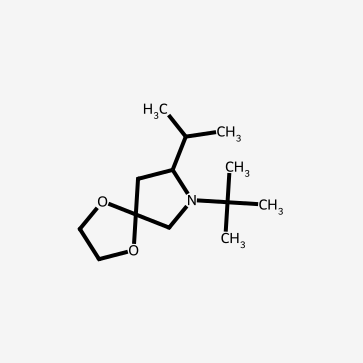 CC(C)C1CC2(CN1C(C)(C)C)OCCO2